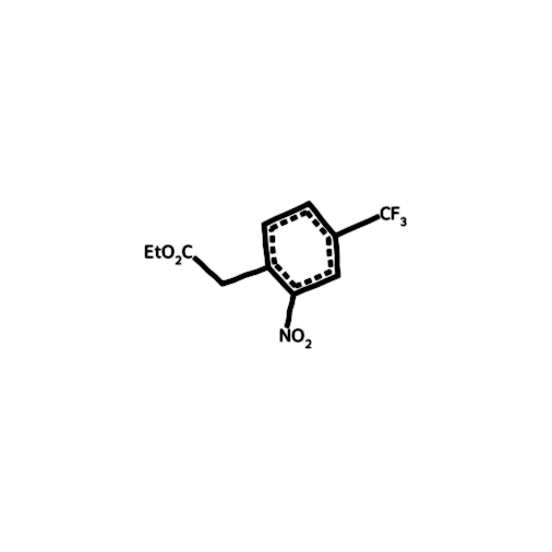 CCOC(=O)Cc1ccc(C(F)(F)F)cc1[N+](=O)[O-]